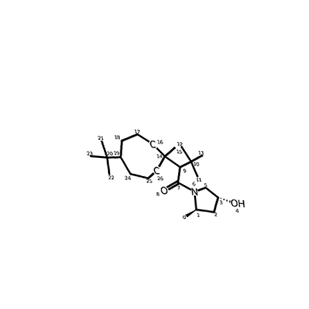 C[C@@H]1C[C@@H](O)CN1C(=O)C(C(C)(C)C)C1(C)CCCC(C(C)(C)C)CCC1